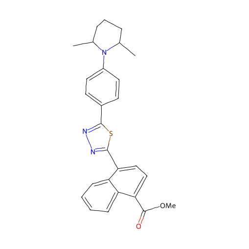 COC(=O)c1ccc(-c2nnc(-c3ccc(N4C(C)CCCC4C)cc3)s2)c2ccccc12